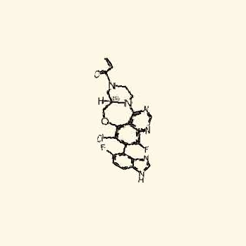 C=CC(=O)N1CCN2c3ncnc4c(F)c(-c5c(F)ccc6[nH]cnc56)c(Cl)c(c34)OC[C@@H]2C1